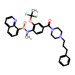 CN(c1ccc(C(=O)N2CCN(CCCc3ccccc3)CC2)cc1OC(C)(F)F)[S+]([O-])c1cccc2cccnc12